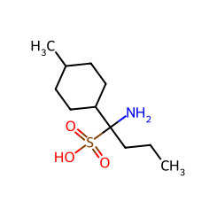 CCCC(N)(C1CCC(C)CC1)S(=O)(=O)O